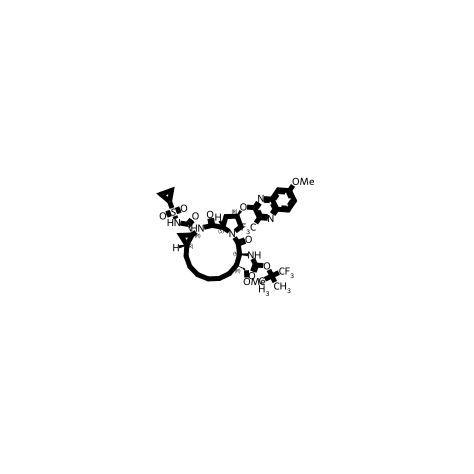 COC[C@@H]1CCCCCC[C@@H]2C[C@@]2(C(=O)NS(=O)(=O)C2CC2)NC(=O)[C@@H]2C[C@@H](Oc3nc4cc(OC)ccc4nc3C(F)(F)F)CN2C(=O)[C@H]1NC(=O)OC(C)(C)C(F)(F)F